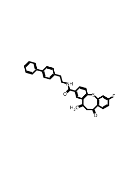 C=C1CC(=O)c2ccc(F)cc2Sc2ccc(C(=O)NCCc3ccc(-c4ccccc4)cc3)cc21